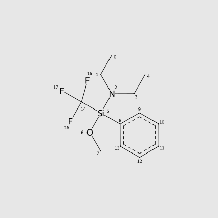 CCN(CC)[Si](OC)(c1ccccc1)C(F)(F)F